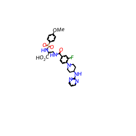 COc1ccc(S(=O)(=O)N[C@@H](CNC(=O)c2ccc(N3CCC(Nc4ncccn4)CC3)c(F)c2)C(=O)O)cc1